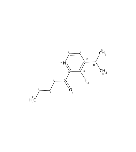 CCCCC(=O)c1nccc(C(C)C)c1F